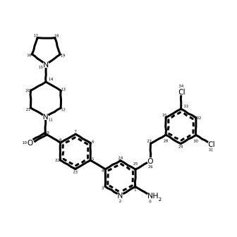 Nc1ncc(-c2ccc(C(=O)N3CCC(N4CCCC4)CC3)cc2)cc1OCc1cc(Cl)cc(Cl)c1